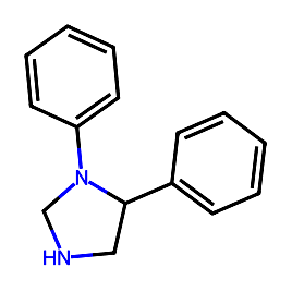 c1ccc(C2CNCN2c2ccccc2)cc1